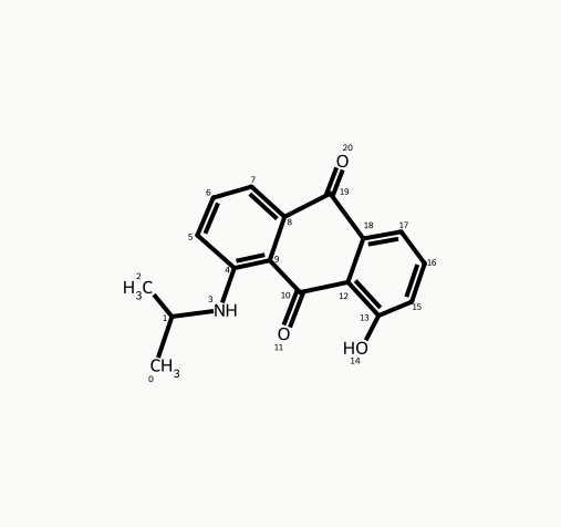 CC(C)Nc1cccc2c1C(=O)c1c(O)cccc1C2=O